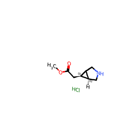 COC(=O)C[C@H]1C2CNC[C@H]21.Cl